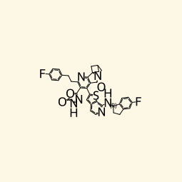 O=C1c2c(nc(CCc3ccc(F)cc3)c(-c3n[nH]c(=O)o3)c2-c2cc3ccnc(N[C@@H]4CCc5cc(F)ccc54)c3s2)C23CC(CN12)C3